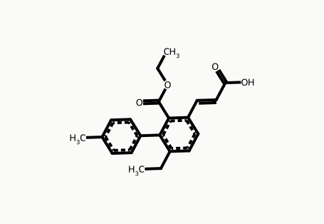 CCOC(=O)c1c(C=CC(=O)O)ccc(CC)c1-c1ccc(C)cc1